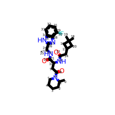 CC1CCCCN1C(=O)CC(NC(=O)CC1CC(C)(C)C1)C(=O)N[C@H](C)c1nc2c(F)cccc2[nH]1